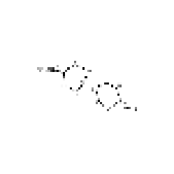 CCCCC[C@H]1CC[C@H](C2CCC(C(F)(F)F)CC2)CC1